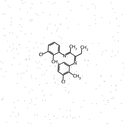 CCC(=Nc1cccc(Cl)c1C)C(C)=Nc1cccc(Cl)c1C